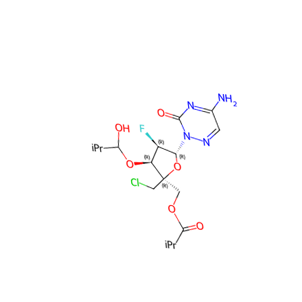 CC(C)C(=O)OC[C@@]1(CCl)O[C@@H](n2ncc(N)nc2=O)[C@H](F)[C@@H]1OC(O)C(C)C